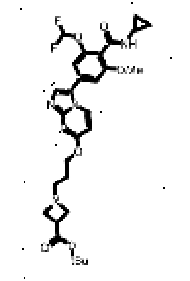 COc1cc(-c2cnc3cc(OCCCN4CC(C(=O)OC(C)(C)C)C4)ccn23)cc(OC(F)F)c1C(=O)NC1CC1